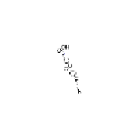 N#CCCCOc1ccc(C(=O)Oc2ccc(/C=C/C(=O)O)cc2)cc1